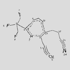 C#Cc1nc(C(F)(F)F)ccc1CC#N